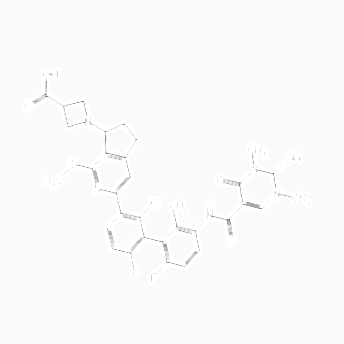 COc1nc(-c2ccc(F)c(-c3c(F)ccc(NC(=O)C4=CN(C)C(O)N(C)C4=O)c3C)c2Cl)cc2c1C(N1CC(C(=O)O)C1)CC2